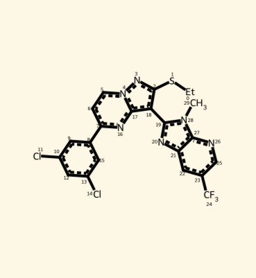 CCSc1nn2ccc(-c3cc(Cl)cc(Cl)c3)nc2c1-c1nc2cc(C(F)(F)F)cnc2n1C